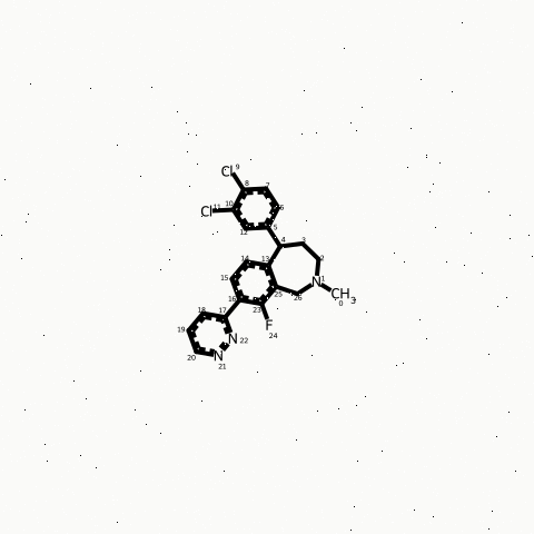 CN1CCC(c2ccc(Cl)c(Cl)c2)c2ccc(-c3cccnn3)c(F)c2C1